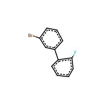 Fc1cc[c]cc1-c1cccc(Br)c1